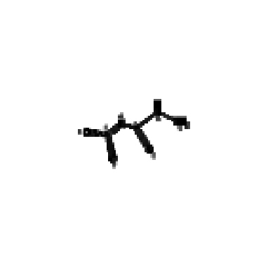 NNC(=O)N=S(=O)=O